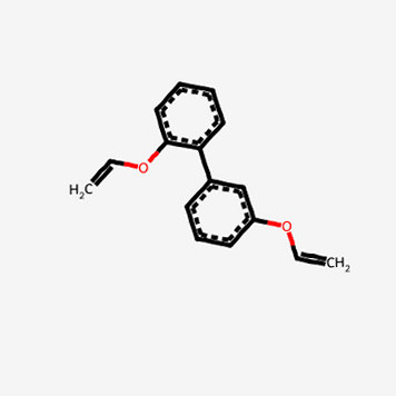 C=COc1cccc(-c2ccccc2OC=C)c1